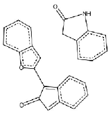 O=C1C=c2ccccc2=C1c1cc2ccccc2o1.O=C1Cc2ccccc2N1